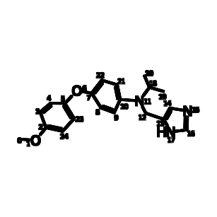 COc1ccc(Oc2ccc(N(Cc3cnc[nH]3)C(C)C)cc2)cc1